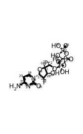 CC(C)[C@]1(COP(=O)(O)OP(=O)(O)OP(=O)(O)O)O[C@@H](n2ccc(N)nc2=O)[C@@H](F)[C@@H]1O